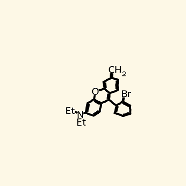 C=c1ccc2c(c1)Oc1cc(N(CC)CC)ccc1C=2c1ccccc1Br